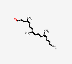 C=CC=CC=C(C)C=CC=C(C)C=CC=C(C)C=CC=O